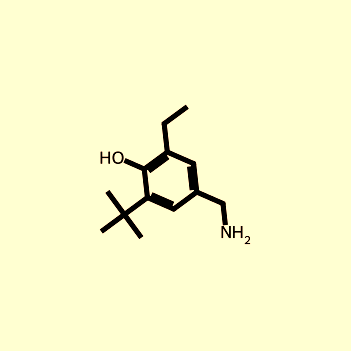 CCc1cc(CN)cc(C(C)(C)C)c1O